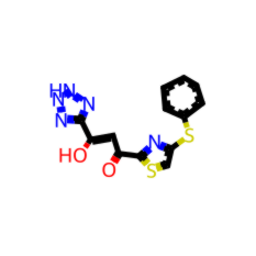 O=C(C=C(O)c1nn[nH]n1)c1nc(Sc2ccccc2)cs1